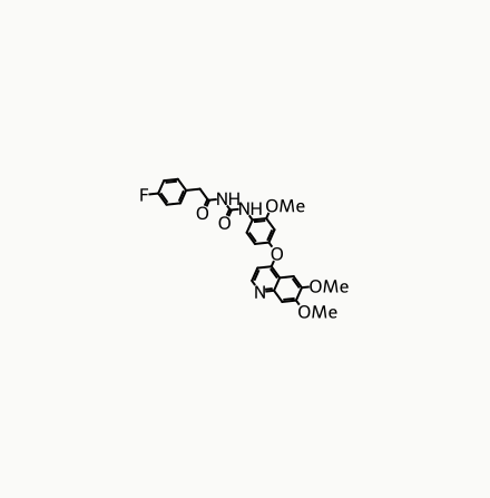 COc1cc(Oc2ccnc3cc(OC)c(OC)cc23)ccc1NC(=O)NC(=O)Cc1ccc(F)cc1